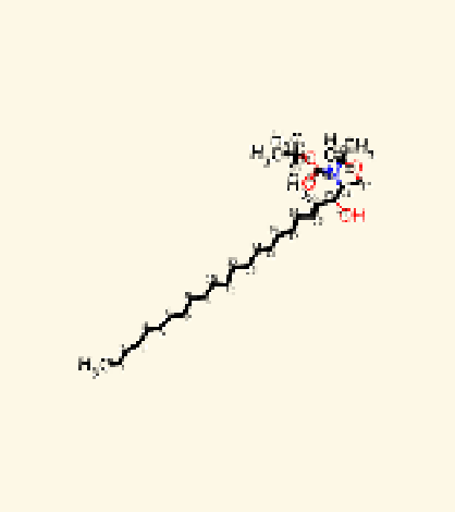 CCCCCCCCCCCCCCCCCCC/C=C/[C@@H](O)[C@@H]1COC(C)(C)N1C(=O)OC(C)(C)C